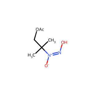 CC(=O)OCC(C)(C)/[N+]([O-])=N\O